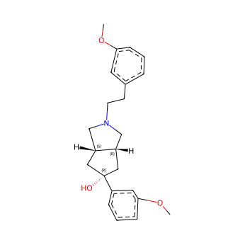 COc1cccc(CCN2C[C@@H]3C[C@@](O)(c4cccc(OC)c4)C[C@@H]3C2)c1